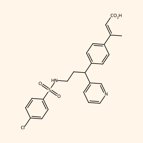 CC(=CC(=O)O)c1ccc(C(CCNS(=O)(=O)c2ccc(Cl)cc2)c2cccnc2)cc1